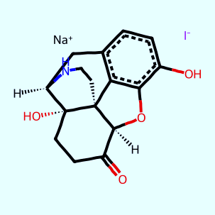 O=C1CC[C@@]2(O)[C@H]3Cc4ccc(O)c5c4[C@@]2(CCN3)[C@H]1O5.[I-].[Na+]